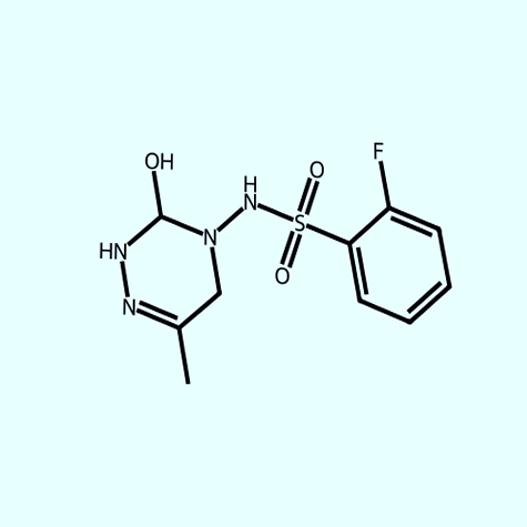 CC1=NNC(O)N(NS(=O)(=O)c2ccccc2F)C1